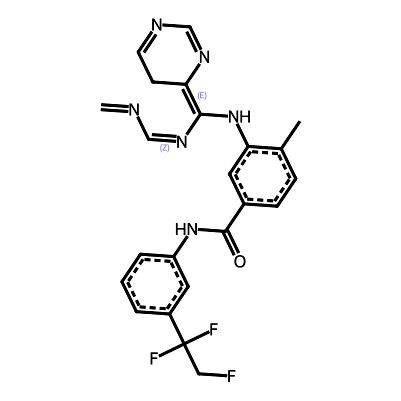 C=N/C=N\C(Nc1cc(C(=O)Nc2cccc(C(F)(F)CF)c2)ccc1C)=C1/CC=NC=N1